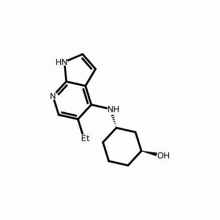 CCc1cnc2[nH]ccc2c1N[C@H]1CCC[C@H](O)C1